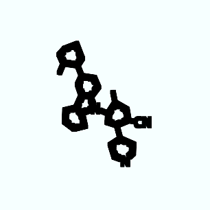 Cc1ccccc1-c1ccc2c(c1)c1ccccc1n2-c1cc(-c2ccncc2)c(C#N)cc1C